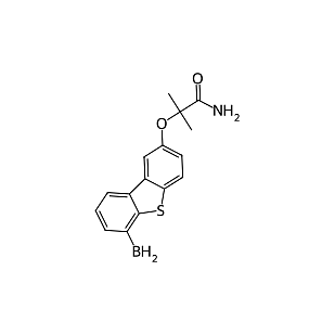 Bc1cccc2c1sc1ccc(OC(C)(C)C(N)=O)cc12